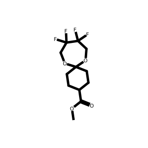 COC(=O)C1CCC2(CC1)OCC(F)(F)C(F)(F)CO2